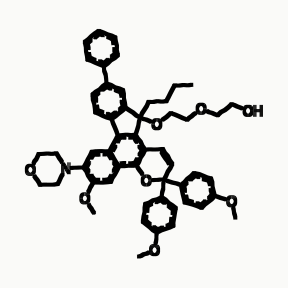 CCCCC1(OCCOCCO)c2cc(-c3ccccc3)ccc2-c2c1c1c(c3cc(OC)c(N4CCOCC4)cc23)OC(c2ccc(OC)cc2)(c2ccc(OC)cc2)C=C1